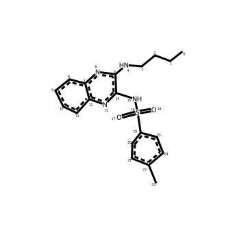 CCCCNc1nc2ccccc2nc1NS(=O)(=O)c1ccc(C)cc1